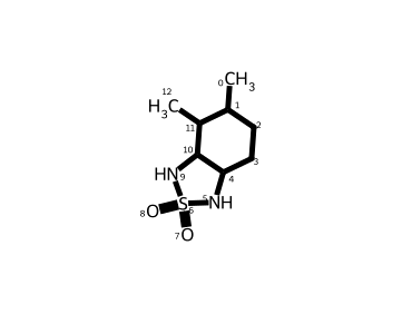 CC1CCC2NS(=O)(=O)NC2C1C